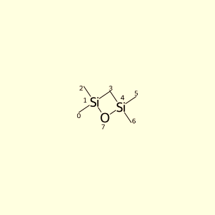 C[Si]1(C)C[Si](C)(C)O1